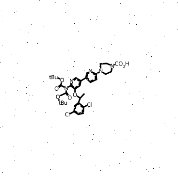 CC(Oc1cc(-c2ccc(N3CCN(C(=O)O)CC3)nc2)cnc1N(C(=O)OC(C)(C)C)C(=O)OC(C)(C)C)c1cc(Cl)ccc1Cl